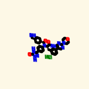 Cl.NC[C@H]1CC[C@H](C(=O)N(c2ccc(-c3n[nH]c(=O)[nH]3)cc2)[C@@H](Cc2cccc(-c3cnc(N4CCOCC4)nc3)c2)C(N)=O)CC1